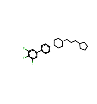 Fc1cc(-c2ccc([C@H]3CC[C@H](CCCC4CCCC4)CC3)cc2)cc(F)c1F